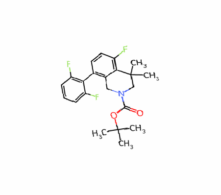 CC(C)(C)OC(=O)N1Cc2c(-c3c(F)cccc3F)ccc(F)c2C(C)(C)C1